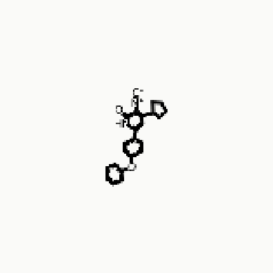 [C-]#[N+]c1c(C2CCCC2)cc(-c2ccc(Oc3ccccc3)cc2)[nH]c1=O